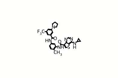 Cc1ccc(NC(=O)c2cc(N3CCCC3)cc(C(F)(F)F)c2)cc1NC(=O)c1csc2c(NC3CC3)ncnc12